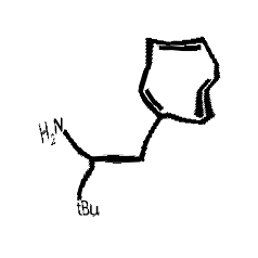 CC(C)(C)C(N)Cc1ccccc1